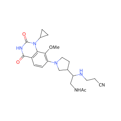 COc1c(N2CCC(C(CNC(C)=O)NCCC#N)C2)ccc2c(=O)[nH]c(=O)n(C3CC3)c12